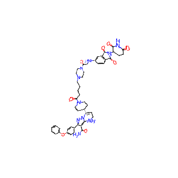 NC(=O)c1c(-c2ccc(Oc3ccccc3)cc2)nn2c1NCC[C@H]2C1CCN(C(=O)CCCCN2CCN(C(=O)CNc3ccc4c(c3)C(=O)N(C3CCC(=O)NC3=O)C4=O)CC2)CC1